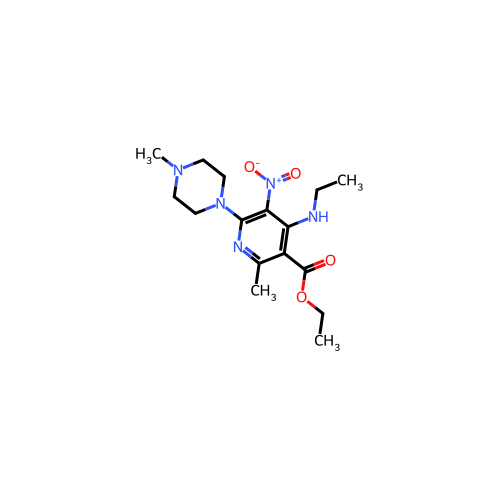 CCNc1c(C(=O)OCC)c(C)nc(N2CCN(C)CC2)c1[N+](=O)[O-]